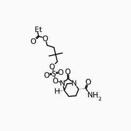 CCC(=O)OCCC(C)(C)COS(=O)(=O)ON1C(=O)N2C[C@H]1CC[C@H]2C(N)=O